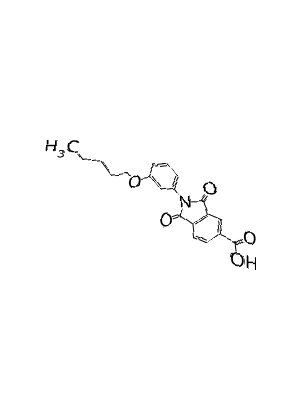 CCCCCOc1cccc(N2C(=O)c3ccc(C(=O)O)cc3C2=O)c1